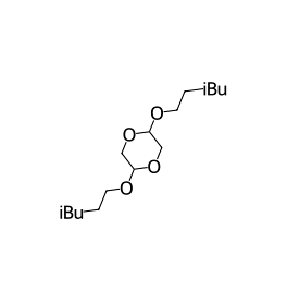 CCC(C)CCOC1COC(OCCC(C)CC)CO1